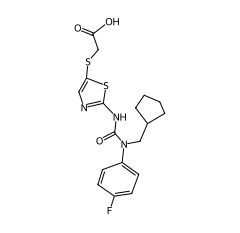 O=C(O)CSc1cnc(NC(=O)N(CC2CCCC2)c2ccc(F)cc2)s1